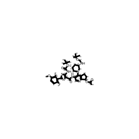 COc1ccc(F)c(-c2nc(C(=O)Nc3cnc4c(c3N3C[C@H](C)C[C@H](NCOC(C)(C)C)C3)CCC4OC(C)=O)c(NC(=O)OC(C)(C)C)s2)c1F